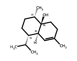 CC1=C[C@H]2[C@H](C(C)C)CC[C@H](C)[C@]2(O)CC1